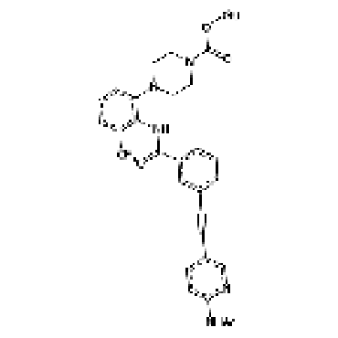 CC(=O)Nc1ccc(C#Cc2cccc(C(=O)Nc3c(N4CCN(C(=O)OC(C)(C)C)CC4)cccc3C(F)(F)F)c2)cn1